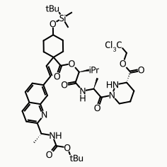 CC(C)[C@H](OC(=O)C1(/C=C/c2ccc3ccc([C@@H](C)NC(=O)OC(C)(C)C)nc3c2)CCC(O[Si](C)(C)C(C)(C)C)CC1)C(=O)N[C@@H](C)C(=O)N1CCC[C@@H](C(=O)OCC(Cl)(Cl)Cl)N1